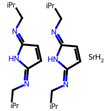 CC(C)CN=C1C=CC(=NCC(C)C)N1.CC(C)CN=C1C=CC(=NCC(C)C)N1.[SrH2]